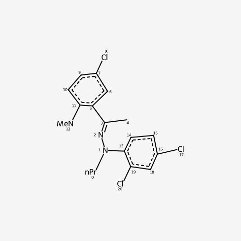 CCCN(/N=C(\C)c1cc(Cl)ccc1NC)c1ccc(Cl)cc1Cl